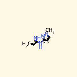 C=CC(=N)Nc1ccn(C)n1